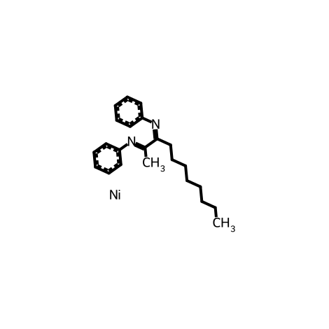 CCCCCCCCC(=Nc1ccccc1)C(C)=Nc1ccccc1.[Ni]